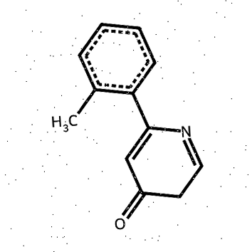 Cc1ccccc1C1=CC(=O)CC=N1